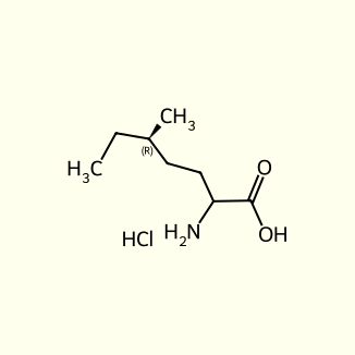 CC[C@@H](C)CCC(N)C(=O)O.Cl